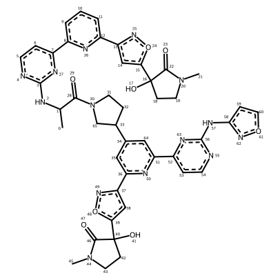 CC(Nc1nccc(-c2cccc(-c3cc(C4(O)CCN(C)C4=O)on3)n2)n1)C(=O)N1CCC(c2cc(-c3cc(C4(O)CCN(C)C4=O)on3)nc(-c3ccnc(Nc4ccon4)n3)c2)C1